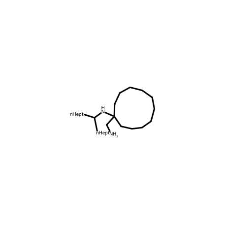 CCCCCCCC(CCCCCCC)NC1(CN)CCCCCCCCCC1